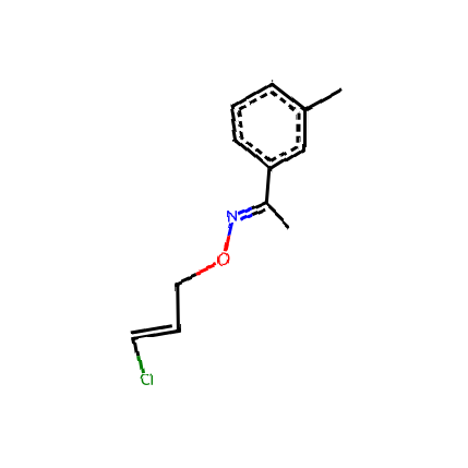 C/C(=N\OCC=CCl)c1cc[c]c(C)c1